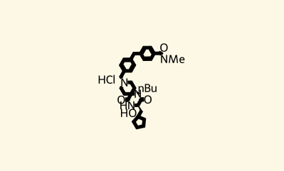 CCCCN1C(=O)[C@@H](CC2(O)CCCC2)NC(=O)C12CCN(Cc1ccc(Cc3ccc(C(=O)NC)cc3)cc1)CC2.Cl